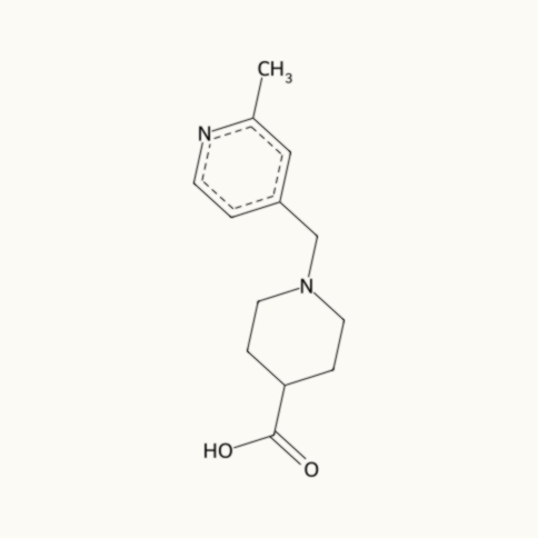 Cc1cc(CN2CCC(C(=O)O)CC2)ccn1